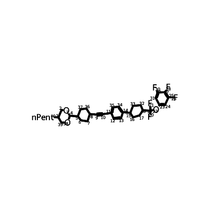 CCCCCC1COC(C2CCC(C#Cc3ccc(C4CCC(C(F)(F)Oc5cc(F)c(F)c(F)c5)CC4)cc3)CC2)OC1